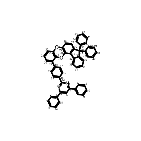 c1ccc(-c2cc(-c3ccccc3)nc(-c3ccc(-c4cccc5c4Oc4c(ccc6c4-c4ccccc4C6(c4ccccc4)c4ccccc4)O5)cc3)n2)cc1